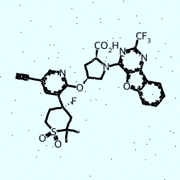 C#Cc1cnc(O[C@H]2C[C@@H](C(=O)O)N(c3nc(C(F)(F)F)nc4c3oc3ccccc34)C2)c([C@]2(F)CCS(=O)(=O)C(C)(C)C2)c1